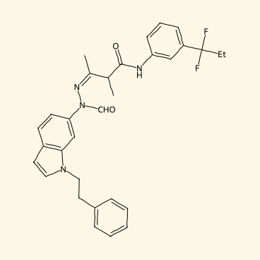 CCC(F)(F)c1cccc(NC(=O)C(C)/C(C)=N\N(C=O)c2ccc3ccn(CCc4ccccc4)c3c2)c1